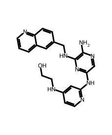 Nc1ncc(Nc2cc(NCCO)ccn2)nc1NCc1ccc2ncccc2c1